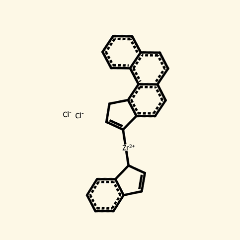 C1=C[CH]([Zr+2][C]2=CCc3c2ccc2ccc4ccccc4c32)c2ccccc21.[Cl-].[Cl-]